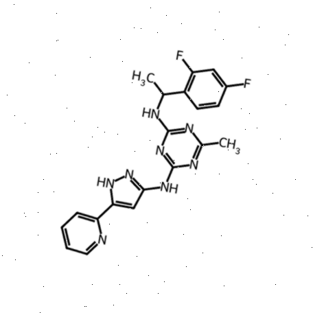 Cc1nc(Nc2cc(-c3ccccn3)[nH]n2)nc(NC(C)c2ccc(F)cc2F)n1